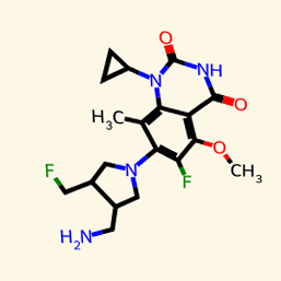 COc1c(F)c(N2CC(CN)C(CF)C2)c(C)c2c1c(=O)[nH]c(=O)n2C1CC1